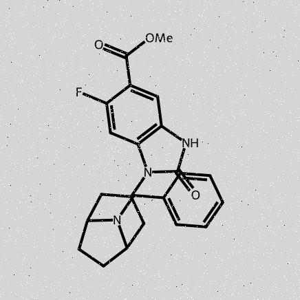 COC(=O)c1cc2[nH]c(=O)n(C3CC4CCC(C3)N4Cc3ccccc3)c2cc1F